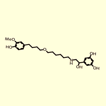 COc1cc(CCCCOCCCCCCNCC(O)c2cc(O)cc(O)c2)ccc1O